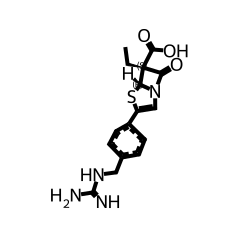 CC[C@@]1(C(=O)O)C(=O)N2C=C(c3ccc(CNC(=N)N)cc3)S[C@@H]21